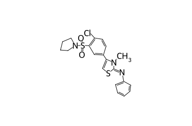 Cn1c(-c2ccc(Cl)c(S(=O)(=O)N3CCCC3)c2)csc1=Nc1ccccc1